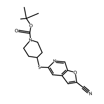 CC(C)(C)OC(=O)N1CCC(Sc2cc3cc(C#N)oc3cn2)CC1